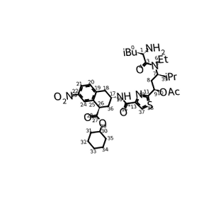 CC[C@H](C)[C@H](N)C(=O)N(CC)[C@H](C[C@@H](OC(C)=O)c1nc(C(=O)N[C@H]2Cc3ccc([N+](=O)[O-])cc3[C@H](C(=O)OC3CCCCC3)C2)cs1)C(C)C